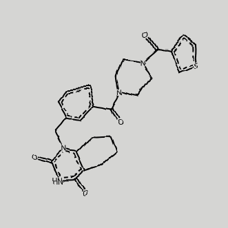 O=C(c1ccsc1)N1CCN(C(=O)c2cccc(Cn3c4c(c(=O)[nH]c3=O)CCCC4)c2)CC1